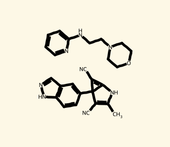 CC1=C(C#N)C2(c3ccc4[nH]ncc4c3)C(C#N)=C2N1.c1ccc(NCCN2CCOCC2)nc1